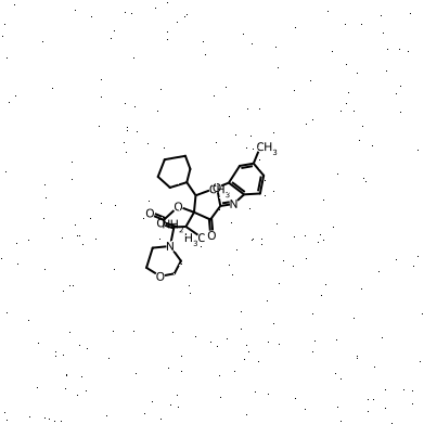 Cc1ccc2nc(C(=O)C(OC(N)=O)(C(C)C(=O)N3CCOCC3)C(C)C3CCCCC3)oc2c1